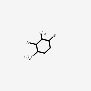 CC1C(Br)CCC(C(=O)O)C1Br